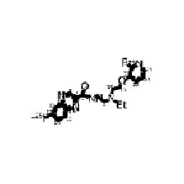 CCN(CCNC(=O)c1cnc2cc([125I])ccc2n1)CCOc1cccnc1F